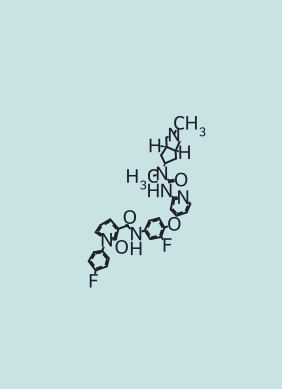 CN1C[C@H]2C[C@H](N(C)C(=O)Nc3cc(Oc4ccc(NC(=O)c5cccn(-c6ccc(F)cc6)c5=O)cc4F)ccn3)C[C@H]2C1